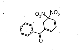 O=C(C1=CC=CC([N+](=O)[O-])([N+](=O)[O-])C1)c1ccccc1